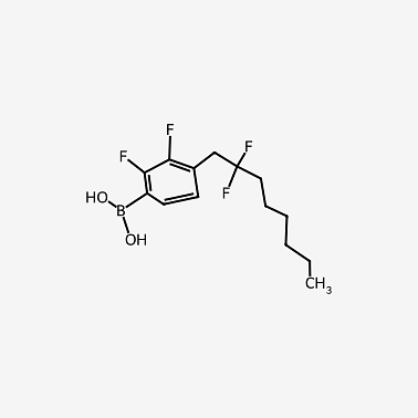 CCCCCCC(F)(F)Cc1ccc(B(O)O)c(F)c1F